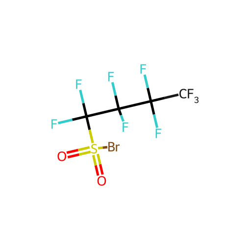 O=S(=O)(Br)C(F)(F)C(F)(F)C(F)(F)C(F)(F)F